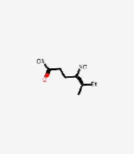 CC/C(C)=C(/CCC(=O)N=O)N=O